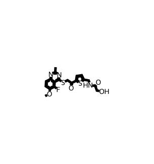 COc1ccc2nc(C)nc(SCC(=O)c3ccc(CNC(=O)CO)s3)c2c1F